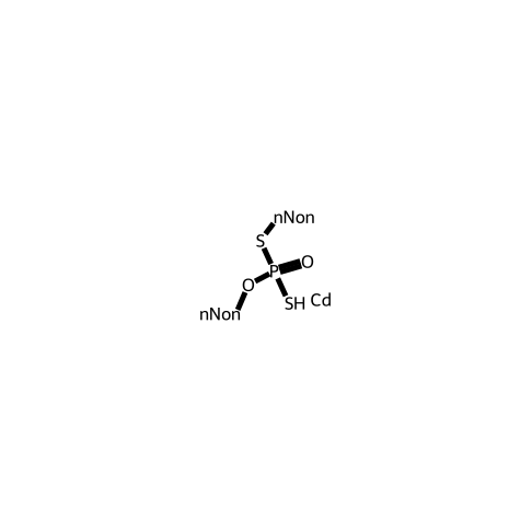 CCCCCCCCCOP(=O)(S)SCCCCCCCCC.[Cd]